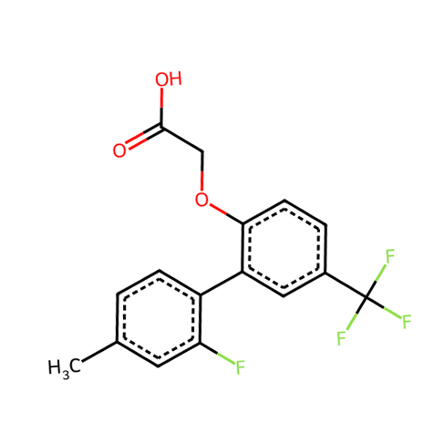 Cc1ccc(-c2cc(C(F)(F)F)ccc2OCC(=O)O)c(F)c1